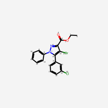 CCOC(=O)c1nn(-c2ccccc2)c(-c2cccc(Cl)c2)c1Br